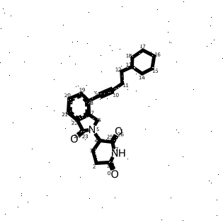 O=C1CCC(N2Cc3c(C#CCCC4CCCCC4)cccc3C2=O)C(=O)N1